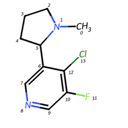 CN1CCCC1c1cncc(F)c1Cl